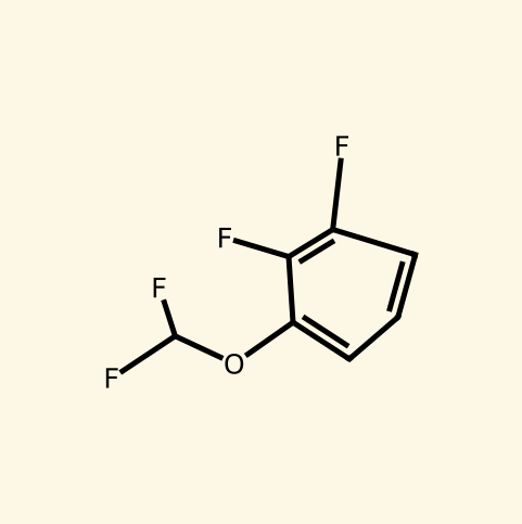 Fc1cccc(OC(F)F)c1F